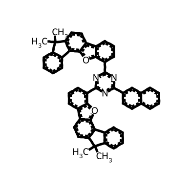 CC1(C)c2ccccc2-c2c1ccc1c2oc2c(-c3nc(-c4ccc5ccccc5c4)nc(-c4cccc5c4oc4c6c(ccc45)C(C)(C)c4ccccc4-6)n3)cccc21